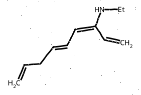 C=CC/C=C/C=C(\C=C)NCC